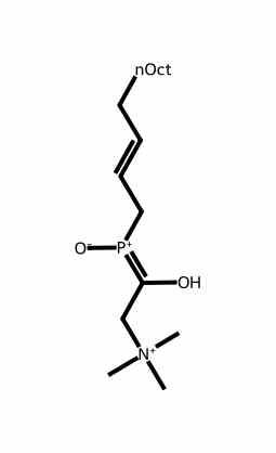 CCCCCCCCCC=CC/[P+]([O-])=C(\O)C[N+](C)(C)C